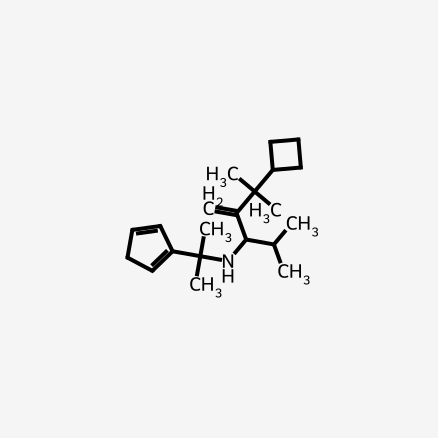 C=C(C(NC(C)(C)C1=CCC=C1)C(C)C)C(C)(C)C1CCC1